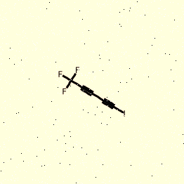 FC(F)(F)C#CC#CI